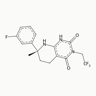 C[C@]1(c2cccc(F)c2)CCc2c([nH]c(=O)n(CC(F)(F)F)c2=O)N1